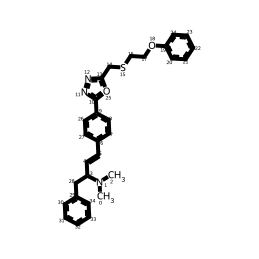 CN(C)C(C=Cc1ccc(-c2nnc(CSCCOc3ccccc3)o2)cc1)Cc1ccccc1